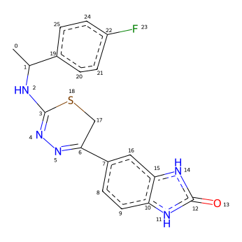 CC(NC1=NN=C(c2ccc3[nH]c(=O)[nH]c3c2)CS1)c1ccc(F)cc1